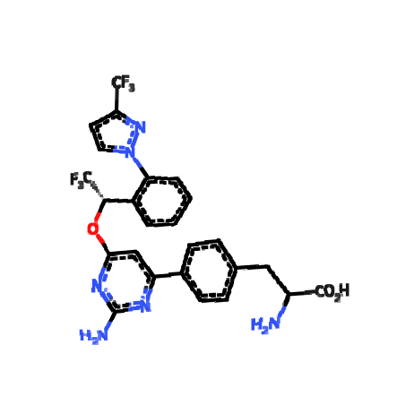 Nc1nc(O[C@@H](c2ccccc2-n2ccc(C(F)(F)F)n2)C(F)(F)F)cc(-c2ccc(CC(N)C(=O)O)cc2)n1